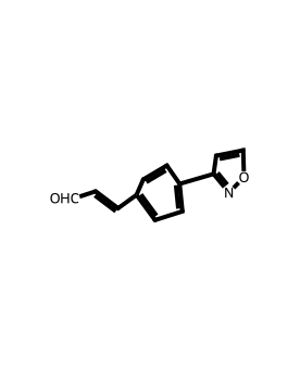 O=CC=Cc1ccc(-c2ccon2)cc1